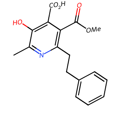 COC(=O)c1c(CCc2ccccc2)nc(C)c(O)c1C(=O)O